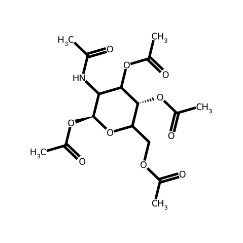 CC(=O)NC1C(OC(C)=O)[C@H](OC(C)=O)C(COC(C)=O)O[C@H]1OC(C)=O